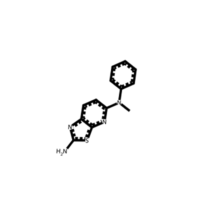 CN(c1ccccc1)c1ccc2nc(N)sc2n1